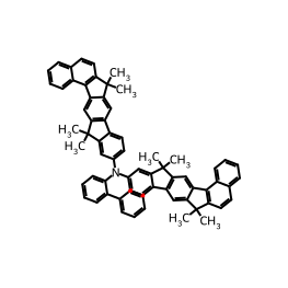 CC1(C)c2cc(N(c3ccc4c(c3)C(C)(C)c3cc5c(cc3-4)C(C)(C)c3ccc4ccccc4c3-5)c3ccccc3-c3ccccc3)ccc2-c2cc3c(cc21)-c1c(ccc2ccccc12)C3(C)C